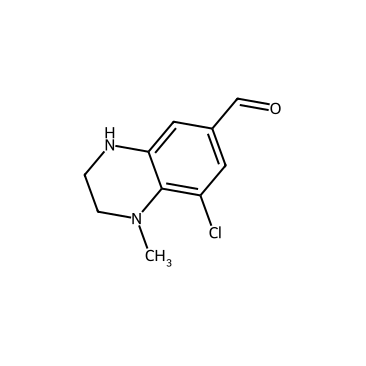 CN1CCNc2cc(C=O)cc(Cl)c21